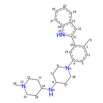 Cc1ccc(N2CCC(NC3CCN(C)CC3)CC2)cc1-c1cc2ccccc2[nH]1